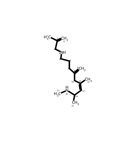 C=C(C)CNCCCC(=C)C/C(C)=C\C(C)NC